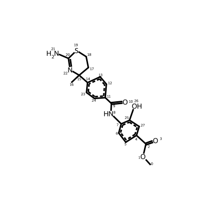 COC(=O)c1ccc(NC(=O)c2ccc(C3(C)CCSC(N)=N3)cc2)c(O)c1